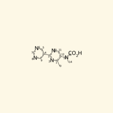 Cc1nc(-c2cncnc2)ncc1N(C)C(=O)O